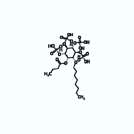 CCCCCCCCO[C@@H]1[C@H](OC(=O)CCC)[C@H](OP(=O)(O)O)[C@@H](OP(=O)(O)O)[C@H](OP(=O)(O)O)[C@H]1OP(=O)(O)O